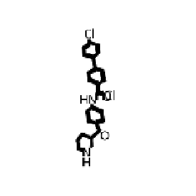 Cl.O=C(Nc1ccc(C(=O)C2CCCNC2)cc1)c1ccc(-c2ccc(Cl)cc2)cc1